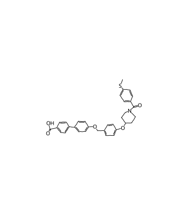 CSc1ccc(C(=O)N2CCC(Oc3ccc(COc4ccc(-c5ccc(C(=O)O)cc5)cc4)cc3)CC2)cc1